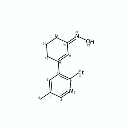 CCc1ncc(C)cc1C1=CC(=NO)CCC1